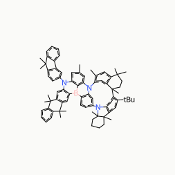 Cc1cc2c3c(c1)N1c4cc5c(cc4C)C(C)(C)CCC5(C)c4cc5c(cc4C(C)(C)C)C4(C)CCCCC4(C)N5c4ccc(c1c4)B3c1cc3c(cc1N2c1ccc2c(c1)-c1ccccc1C2(C)C)C(C)(C)c1ccccc1C3(C)C